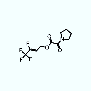 O=C(OC/C=C(\F)C(F)(F)F)C(=O)N1CCCC1